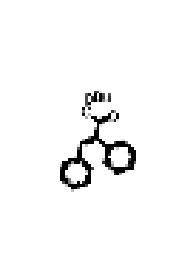 CCCCOC(=O)C(=Cc1ccccc1)c1ccccc1